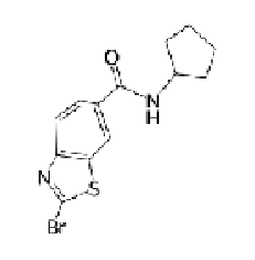 O=C(NC1CCCC1)c1ccc2nc(Br)sc2c1